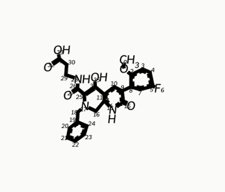 COc1ccc(F)cc1-c1cc2c([nH]c1=O)CN(Cc1ccccc1)C(C(=O)NCCC(=O)O)=C2O